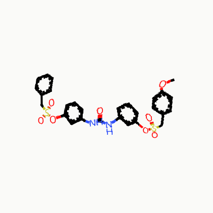 COc1ccc(CS(=O)(=O)Oc2cccc(NC(=O)Nc3cccc(OS(=O)(=O)Cc4ccccc4)c3)c2)cc1